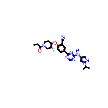 CCC(=O)N1CC[C@H](Oc2ccc(-c3ncnc(Nc4cnn(C(C)C)c4)n3)cc2C#N)[C@H](F)C1